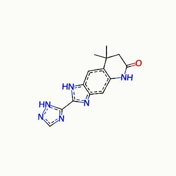 CC1(C)CC(=O)Nc2cc3nc(-c4ncn[nH]4)[nH]c3cc21